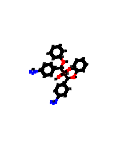 Nc1ccc(C(Oc2ccccc2)S(=O)(=O)C(Oc2ccccc2)c2ccc(N)cc2)cc1